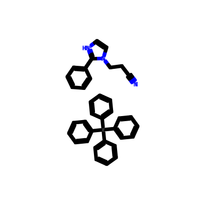 N#CCCn1cc[nH+]c1-c1ccccc1.c1ccc([B-](c2ccccc2)(c2ccccc2)c2ccccc2)cc1